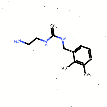 C=C(NCCN)NCc1cccc(C)c1C